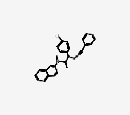 CC(C(CC#Cc1ccccc1)c1ccc(Cl)cc1)N(C)c1ccc2ccccc2c1